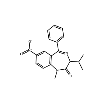 CC(C)C1N=C(c2ccccc2)c2cc([N+](=O)[O-])ccc2N(C)C1=O